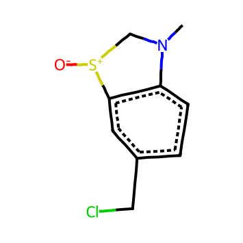 CN1C[S+]([O-])c2cc(CCl)ccc21